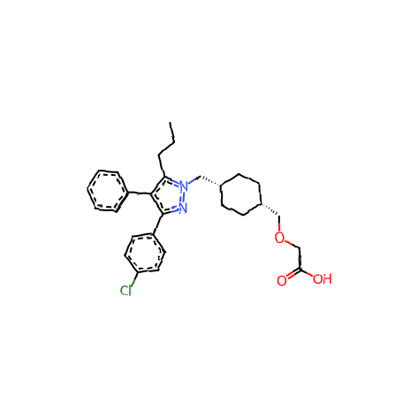 CCCc1c(-c2ccccc2)c(-c2ccc(Cl)cc2)nn1C[C@H]1CC[C@@H](COCC(=O)O)CC1